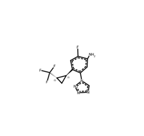 Nc1cc(-n2cnnn2)c([C@H]2C[C@@H]2C(F)(F)F)cc1F